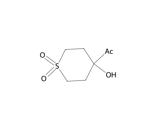 CC(=O)C1(O)CCS(=O)(=O)CC1